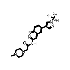 [2H]C([2H])([2H])n1cc(-c2ccc3nnc(NC(=O)CN4CCN(C)CC4)cc3c2)cn1